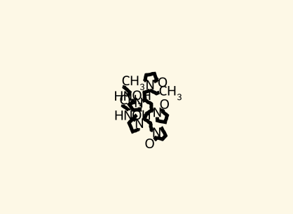 CCCNC1(O)CCCN1C(CCN1CCCC1=O)CC(CC(CC(CC)N1CCCC1=O)N1CCCC1(O)NCCC)N1CCCC1=O